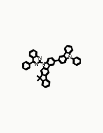 CC1(C)c2ccccc2-c2cc3c4cc(-c5ccc6c(c5)c5ccccc5n6-c5ccccc5)ccc4n(-c4nc(-c5ccccc5)c5ccccc5n4)c3cc21